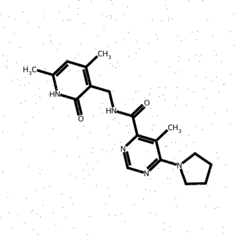 Cc1cc(C)c(CNC(=O)c2ncnc(N3CCCC3)c2C)c(=O)[nH]1